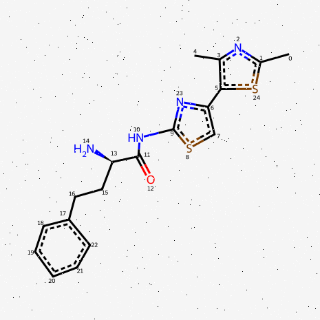 Cc1nc(C)c(-c2csc(NC(=O)[C@H](N)CCc3ccccc3)n2)s1